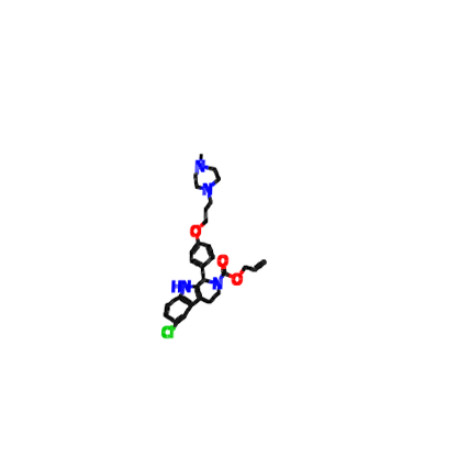 C=CCOC(=O)N1CCc2c([nH]c3ccc(Cl)cc23)C1c1ccc(OCCCN2CCN(C)CC2)cc1